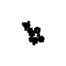 COc1ccncc1-c1cc2c(cnn2-c2cc3sc(N4C[C@H]5C[C@@H]4CN5)nc3c(N3CCOCC3)n2)c(C)n1